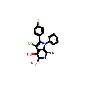 N#Cc1nc(C(=O)O)c(O)c2c(Br)c(-c3ccc(F)cc3)n(-c3ccccc3)c12